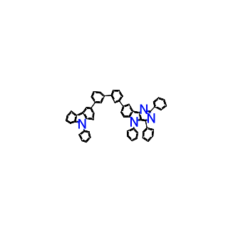 c1ccc(-c2nc(-c3ccccc3)c3c(n2)c2cc(-c4cccc(-c5cccc(-c6ccc7c(c6)c6ccccc6n7-c6ccccc6)c5)c4)ccc2n3-c2ccccc2)cc1